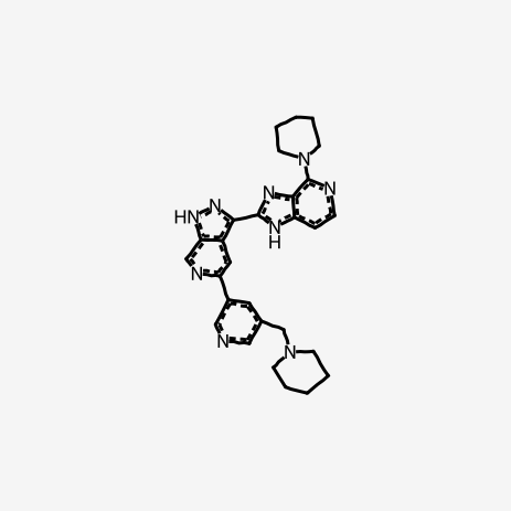 c1cc2[nH]c(-c3n[nH]c4cnc(-c5cncc(CN6CCCCC6)c5)cc34)nc2c(N2CCCCC2)n1